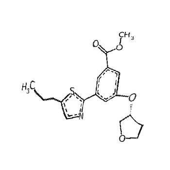 CCc1cnc(-c2cc(O[C@@H]3CCOC3)cc(C(=O)OC)c2)s1